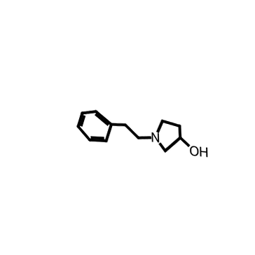 OC1CCN(CCc2ccccc2)C1